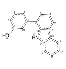 Cc1cccc(-c2cccc3c2[nH]c2ccccc23)c1